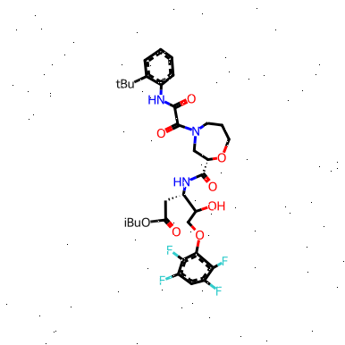 CC(C)COC(=O)C[C@H](NC(=O)[C@@H]1CN(C(=O)C(=O)Nc2ccccc2C(C)(C)C)CCCO1)C(O)COc1c(F)c(F)cc(F)c1F